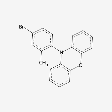 Cc1cc(Br)ccc1N1c2ccccc2Oc2ccccc21